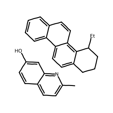 CCC1CCCc2ccc3c(ccc4ccccc43)c21.Cc1ccc2ccc(O)cc2n1